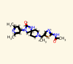 CC(=O)Nc1ncc([C@H](C)N2CCC3(CC2)CN(c2cc(C)nc(C)c2)C(=O)N3)s1